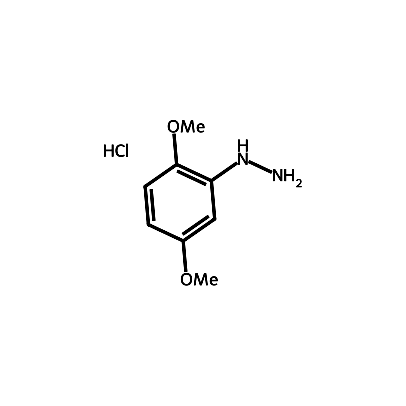 COc1ccc(OC)c(NN)c1.Cl